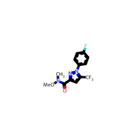 CON(C)C(=O)c1cc(C(F)(F)F)n(-c2ccc(F)cc2)n1